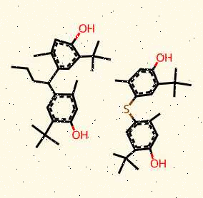 CCCC(c1cc(C(C)(C)C)c(O)cc1C)c1cc(C(C)(C)C)c(O)cc1C.Cc1cc(O)c(C(C)(C)C)cc1Sc1cc(C(C)(C)C)c(O)cc1C